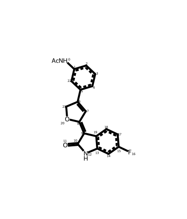 CC(=O)Nc1cccc(C2=CC(=C3C(=O)Nc4cc(F)ccc43)OC2)c1